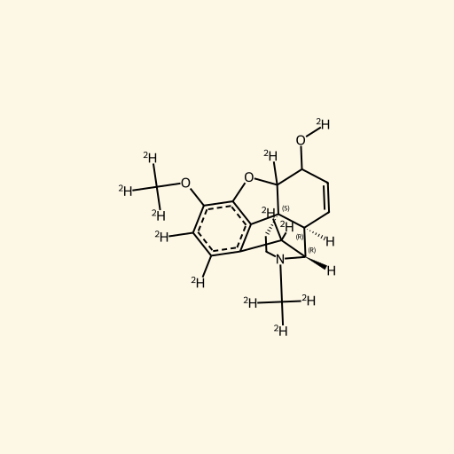 [2H]OC1C=C[C@H]2[C@@H]3N(C([2H])([2H])[2H])CC[C@@]24c2c(c(OC([2H])([2H])[2H])c([2H])c([2H])c2C3([2H])[2H])OC14[2H]